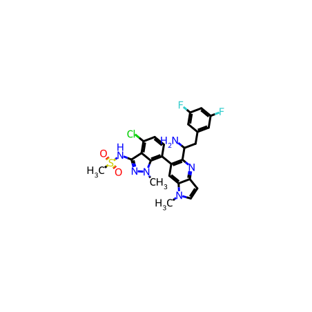 Cn1ccc2nc(C(N)Cc3cc(F)cc(F)c3)c(-c3ccc(Cl)c4c(NS(C)(=O)=O)nn(C)c34)cc21